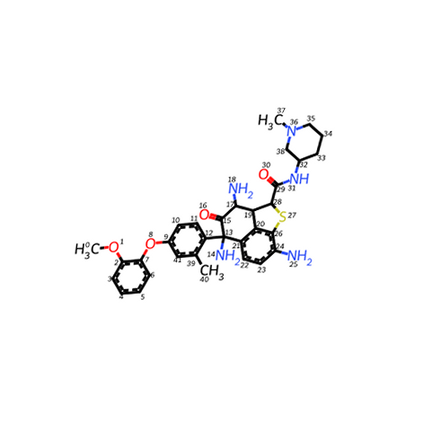 COc1ccccc1Oc1ccc(C2(N)C(=O)C(N)C3c4c2ccc(N)c4SC3C(=O)NC2CCCN(C)C2)c(C)c1